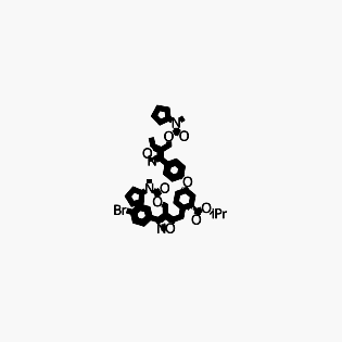 Cc1onc(-c2ccc(O[C@H]3CCC(Cc4onc(-c5ccc(Br)cc5)c4COC(=O)N(C)C4CCCC4)[C@H](C(=O)OC(C)C)C3)cc2)c1COC(=O)N(C)C1CCCC1